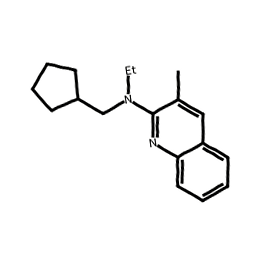 CCN(CC1CCCC1)c1nc2ccccc2cc1C